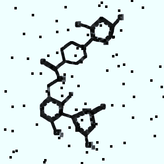 O=C(NCc1ccc(C(F)(F)F)c(-c2nc(C(F)(F)F)cc(=O)[nH]2)c1F)C1CCN(c2ncc(Cl)cc2Cl)CC1